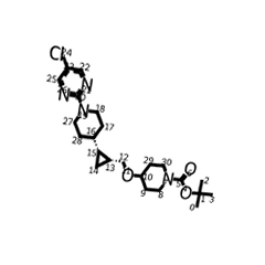 CC(C)(C)OC(=O)N1CCC(OC[C@@H]2C[C@@H]2C2CCN(c3ncc(Cl)cn3)CC2)CC1